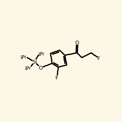 CC(C)[Si](Oc1ccc(C(=O)CCF)cc1F)(C(C)C)C(C)C